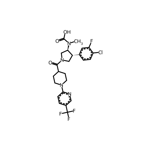 CN(C(=O)O)[C@@H]1CN(C(=O)C2CCN(c3ccc(C(F)(F)F)cn3)CC2)C[C@H]1c1ccc(Cl)c(F)c1